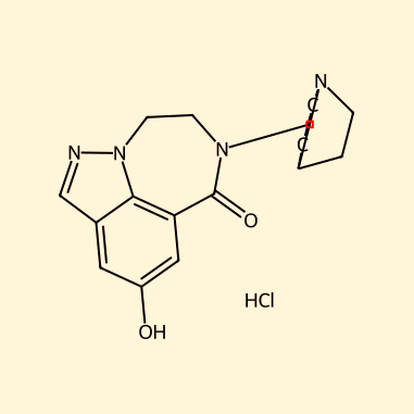 Cl.O=C1c2cc(O)cc3cnn(c23)CCN1C1CN2CCC1CC2